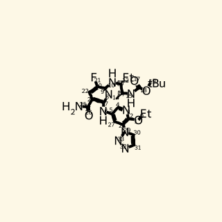 CCOc1ncc(Nc2nc(N[C@H](CC)[C@H](C)NC(=O)OC(C)(C)C)c(F)cc2C(N)=O)cc1-n1ccnn1